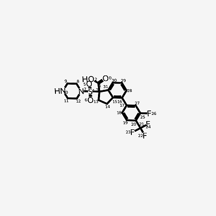 O=C(O)C1(S(=O)(=O)N2CCNCC2)CCc2c(-c3ccc(C(F)(F)F)c(F)c3)cccc21